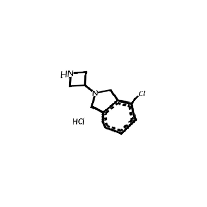 Cl.Clc1cccc2c1CN(C1CNC1)C2